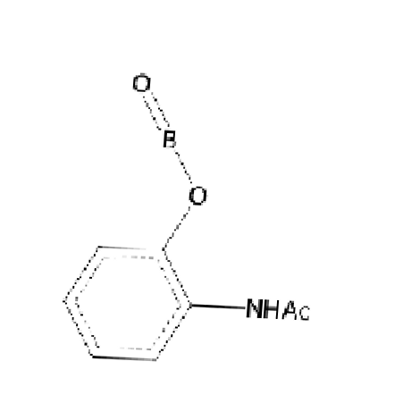 CC(=O)Nc1ccccc1OB=O